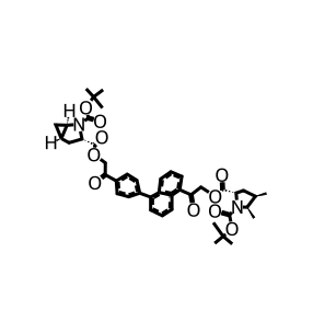 C[C@@H]1C[C@@H](C(=O)OCC(=O)c2cccc3c(-c4ccc(C(=O)COC(=O)[C@@H]5C[C@H]6C[C@H]6N5C(=O)OC(C)(C)C)cc4)cccc23)N(C(=O)OC(C)(C)C)[C@@H]1C